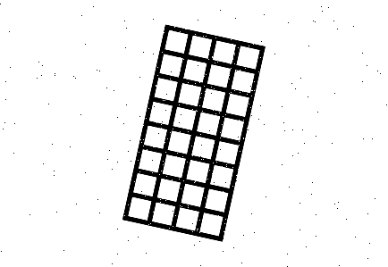 C1C2C3C4CC5C6C7C8C9C%10C%11CC%12C%13C%14CC%15C%16C%17C%18C%19C%20C1C21C32C45C63C74C85C96C%107C%12%11C%138C%14%15C%169C%17%10C%18%11C%19%12C%201C23C%124C%115C%106C897